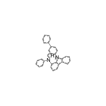 CN(c1ccccc1)c1cccc2c3ccccc3n(-c3ccc(-c4ccccc4)cc3)c12